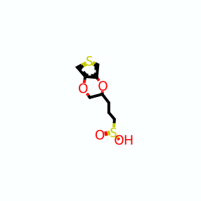 O=S(O)CCCC1COc2cscc2O1